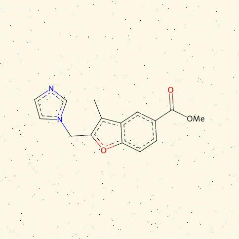 COC(=O)c1ccc2oc(Cn3ccnc3)c(C)c2c1